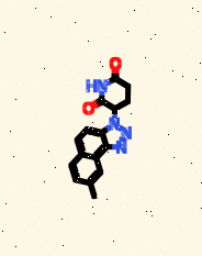 Cc1ccc2ccc3c(nnn3C3CCC(=O)NC3=O)c2c1